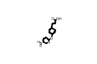 O=C(O)C=Cc1ccc(Oc2ccc([N+](=O)[O-])cn2)cc1